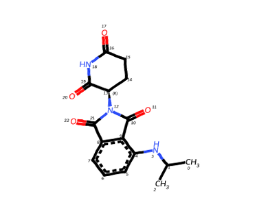 CC(C)Nc1cccc2c1C(=O)N([C@@H]1CCC(=O)NC1=O)C2=O